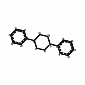 c1ccc(C2CCN(c3ccccc3)CC2)cc1